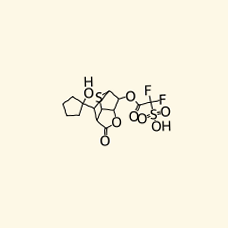 O=C1OC2C(OC(=O)C(F)(F)S(=O)(=O)O)C3SC2C1C3C1(O)CCCC1